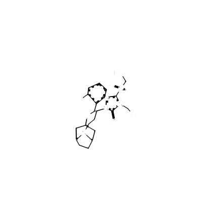 CCn1c(S(=O)(=O)CC)nn(CCCN2C3CCC2CC(OCc2ccccc2F)C3)c1=O